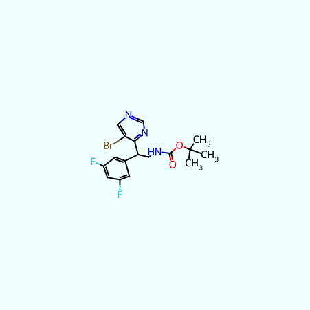 CC(C)(C)OC(=O)NCC(c1cc(F)cc(F)c1)c1ncncc1Br